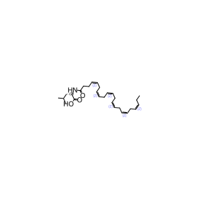 CC/C=C\C/C=C\C/C=C\C/C=C\C/C=C\C/C=C\CCC(=O)N[C@@H](CC(C)C)C(=O)O